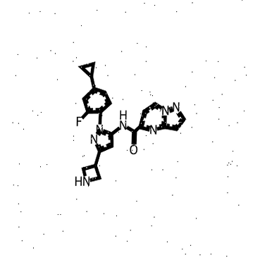 O=C(Nc1cc(C2CNC2)nn1-c1ccc(C2CC2)cc1F)c1ccn2nccc2n1